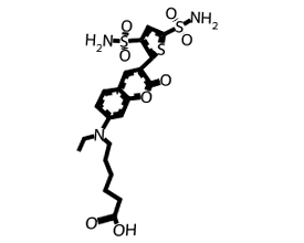 CCN(CCCCCC(=O)O)c1ccc2cc(-c3sc(S(N)(=O)=O)cc3S(N)(=O)=O)c(=O)oc2c1